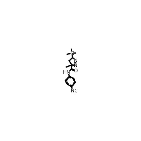 [C-]#[N+]c1ccc(NC(=O)C2(C)CC([Si](C)(C)C)N=N2)cc1